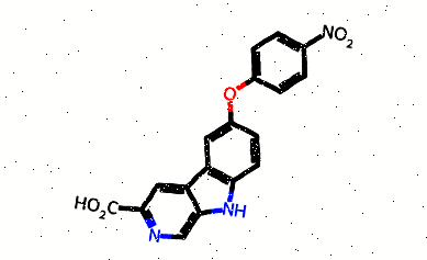 O=C(O)c1cc2c(cn1)[nH]c1ccc(Oc3ccc([N+](=O)[O-])cc3)cc12